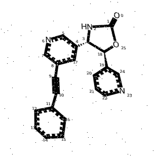 O=C1N[C@@H](c2cncc(C#Cc3ccccc3)c2)[C@H](c2cccnc2)O1